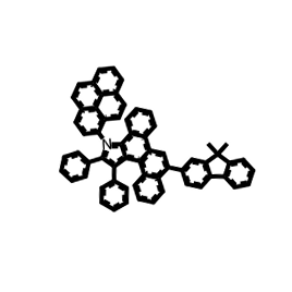 CC1(C)c2ccccc2-c2ccc(-c3cc4c5ccccc5c5c(c(-c6ccccc6)c(-c6ccccc6)n5-c5ccc6ccc7cccc8ccc5c6c78)c4c4ccccc34)cc21